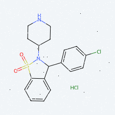 Cl.O=S1(=O)c2ccccc2C(c2ccc(Cl)cc2)N1C1CCNCC1